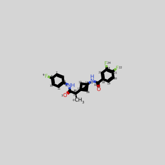 C[C@@H](C(=O)Nc1ccc(F)cc1)C12CC(NC(=O)c3ccc(F)c(F)c3)(C1)C2